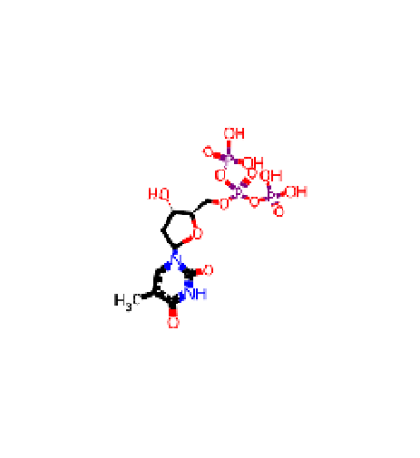 Cc1cn([C@H]2C[C@H](O)[C@@H](COP(=O)(OP(=O)(O)O)OP(=O)(O)O)O2)c(=O)[nH]c1=O